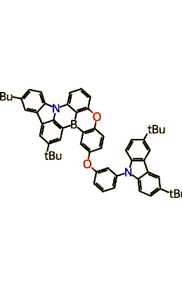 CC(C)(C)c1ccc2c(c1)c1cc(C(C)(C)C)ccc1n2-c1cccc(Oc2ccc3c(c2)B2c4c(cccc4-n4c5ccc(C(C)(C)C)cc5c5cc(C(C)(C)C)cc2c54)O3)c1